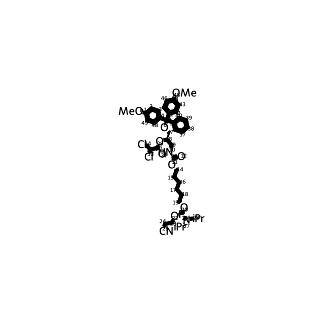 COc1ccc(C(OC[C@@H](CNC(=O)OCCCCCCOP(OCCC#N)N(C(C)C)C(C)C)OC(=O)C(Cl)Cl)(c2ccccc2)c2ccc(OC)cc2)cc1